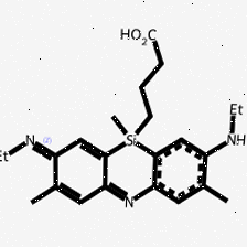 CC/N=C1/C=C2C(=Nc3cc(C)c(NCC)cc3[Si]2(C)CCCC(=O)O)C=C1C